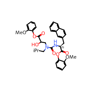 COc1ccccc1OC(=O)C(O)CN(CC(C)C)C(=O)N[C@@H](Cc1ccc2ccccc2c1)C(=O)Oc1ccccc1OC